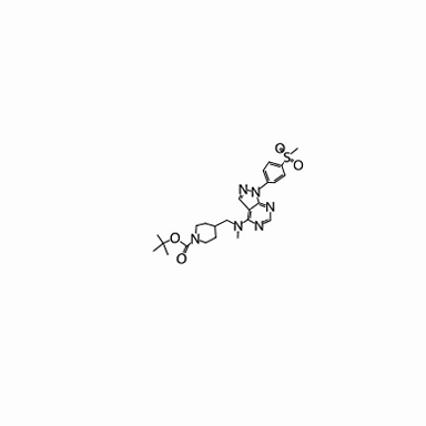 CN(CC1CCN(C(=O)OC(C)(C)C)CC1)c1ncnc2c1cnn2-c1ccc(S(C)(=O)=O)cc1